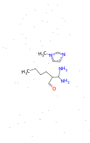 CCCCC(C=O)C(N)N.Cn1ccnc1